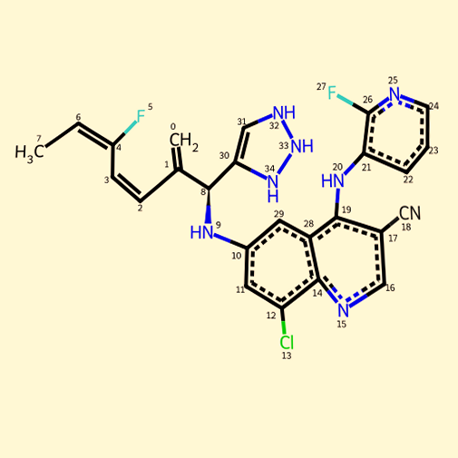 C=C(/C=C\C(F)=C/C)[C@H](Nc1cc(Cl)c2ncc(C#N)c(Nc3cccnc3F)c2c1)C1=CNNN1